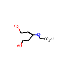 O=C(O)CNC(CCO)CCO